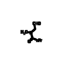 CCCC(=O)N(C)CC=O